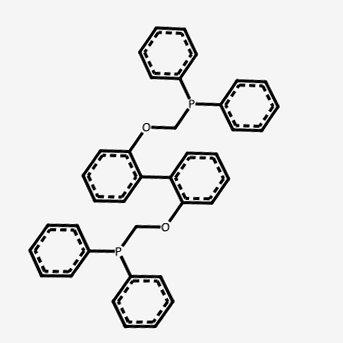 c1ccc(P(COc2ccccc2-c2ccccc2OCP(c2ccccc2)c2ccccc2)c2ccccc2)cc1